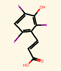 O=C(O)C=Cc1c(I)cc(I)c(O)c1I